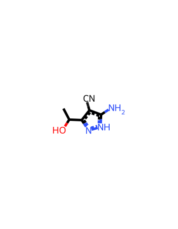 CC(O)c1n[nH]c(N)c1C#N